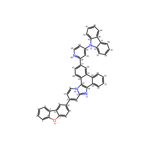 c1ccc2c(c1)oc1ccc(-c3ccn4c(c3)nc3c5ccccc5c5cc(-c6cc(-n7c8ccccc8c8ccccc87)ccn6)ccc5c34)cc12